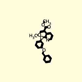 CO/C=C(/C(=O)OC)c1cccnc1Oc1cccc(OCc2ccccc2)c1